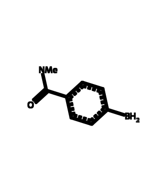 Bc1ccc(C(=O)NC)cc1